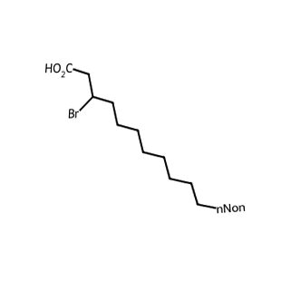 CCCCCCCCCCCCCCCCCC(Br)CC(=O)O